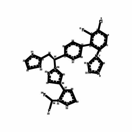 Fc1c(Cl)ccc(-n2cnnn2)c1-c1ccc([C@H](Cc2nccs2)n2cc(-c3ccnn3C(F)F)cn2)nc1